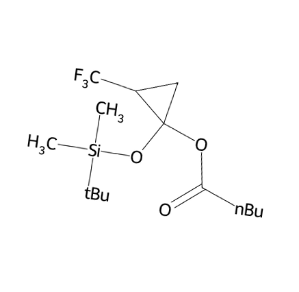 CCCCC(=O)OC1(O[Si](C)(C)C(C)(C)C)CC1C(F)(F)F